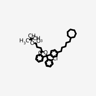 CC(C)(C)OC(=O)CCC(=O)OC(c1ccccc1)(c1ccc(CCCCCC2CCCCCC2)cc1)c1ccccc1Cl